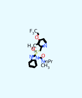 [CH2]CCN(C)C(=O)n1c([S@+]([O-])Cc2nccc(OCC(F)(F)F)c2C)nc2ccccc21